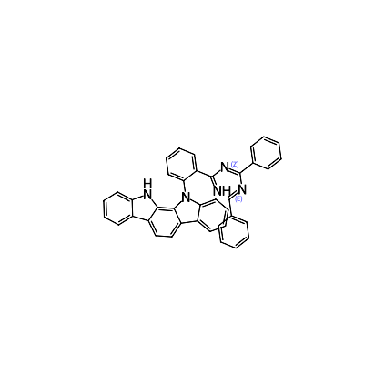 N=C(/N=C(\N=C\c1ccccc1)c1ccccc1)c1ccccc1-n1c2ccccc2c2ccc3c4ccccc4[nH]c3c21